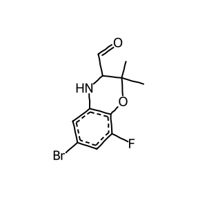 CC1(C)Oc2c(F)cc(Br)cc2NC1C=O